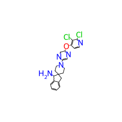 N[C@@H]1c2ccccc2CC12CCN(c1cnc(Oc3ccnc(Cl)c3Cl)cn1)CC2